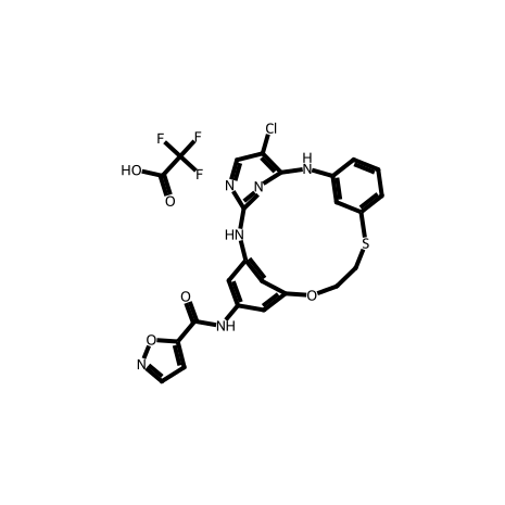 O=C(Nc1cc2cc(c1)OCCSc1cccc(c1)Nc1nc(ncc1Cl)N2)c1ccno1.O=C(O)C(F)(F)F